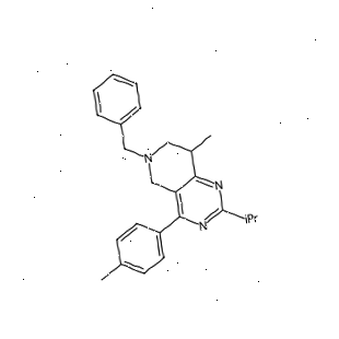 Cc1ccc(-c2nc(C(C)C)nc3c2CN(Cc2ccccc2)CC3C)cc1